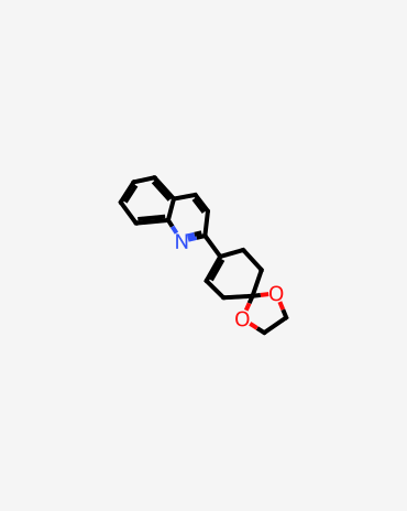 C1=C(c2ccc3ccccc3n2)CCC2(C1)OCCO2